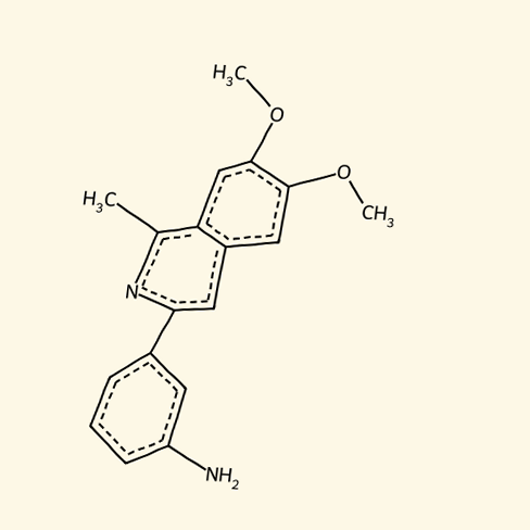 COc1cc2cc(-c3cccc(N)c3)nc(C)c2cc1OC